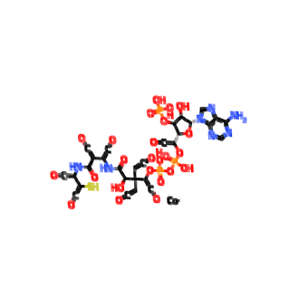 Nc1ncnc2c1ncn2[C@@H]1O[C@H](C(=C=O)OP(=O)(O)OP(=O)(O)OC(=C=O)C(C=C=O)(C=C=O)[C@@H](O)C(=O)NC(=C=O)C(=C=O)C(=O)NC(=C=O)C(S)=C=O)[C@@H](OP(=O)(O)O)[C@H]1O.[Co]